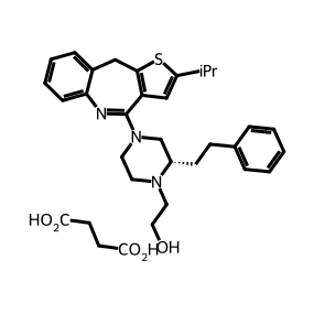 CC(C)c1cc2c(s1)Cc1ccccc1N=C2N1CCN(CCO)[C@@H](CCc2ccccc2)C1.O=C(O)CCC(=O)O